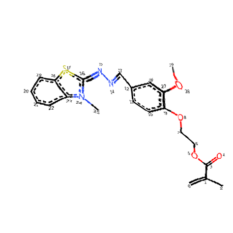 C=C(C)C(=O)OCCOc1ccc(/C=N/N=c2/sc3ccccc3n2C)cc1OC